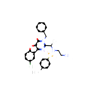 CCC(c1nc2c(oc3ccc(Cl)cc32)c(=O)n1Cc1ccccc1)N(CCN)S(=O)(=O)c1ccc(C)cc1